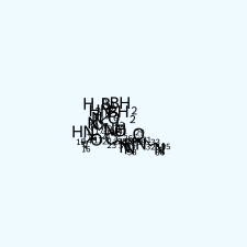 BC(B)(B)NC(=O)c1nnc(NC(=O)C2CC2)cc1Nc1cccc(-c2cc(C(=O)NCCCN(C)C)n(C)n2)c1OC